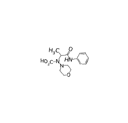 CC(C(=O)Nc1ccccc1)N(C(=O)O)N1CCOCC1